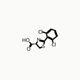 O=C(O)[C@@H]1CSC(c2c(Cl)cccc2Cl)=N1